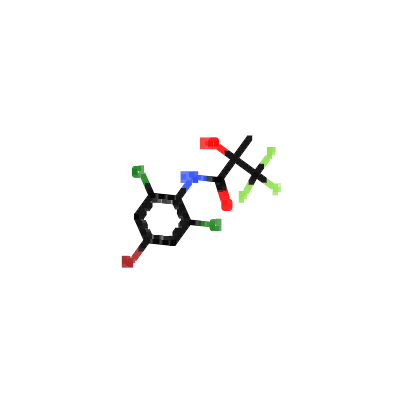 CC(O)(C(=O)Nc1c(Cl)cc(Br)cc1Cl)C(F)(F)F